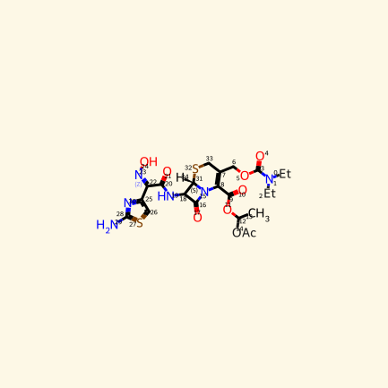 CCN(CC)C(=O)OCC1=C(C(=O)OC(C)OC(C)=O)N2C(=O)C(NC(=O)/C(=N\O)c3csc(N)n3)[C@@H]2SC1